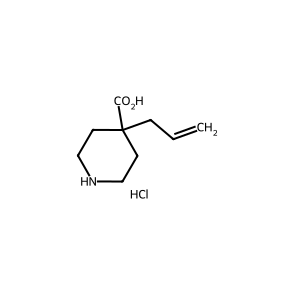 C=CCC1(C(=O)O)CCNCC1.Cl